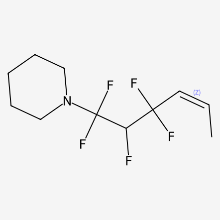 C/C=C\C(F)(F)C(F)C(F)(F)N1CCCCC1